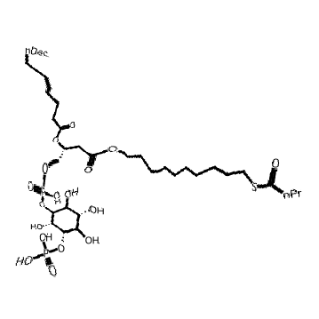 CCCCCCCCCCCCCCCC(=O)O[C@@H](COP(=O)(O)OC1C(O)[C@H](O)C(O)[C@H](OP(=O)(O)O)[C@@H]1O)CC(=O)OCCCCCCCCCCSC(=O)CCC